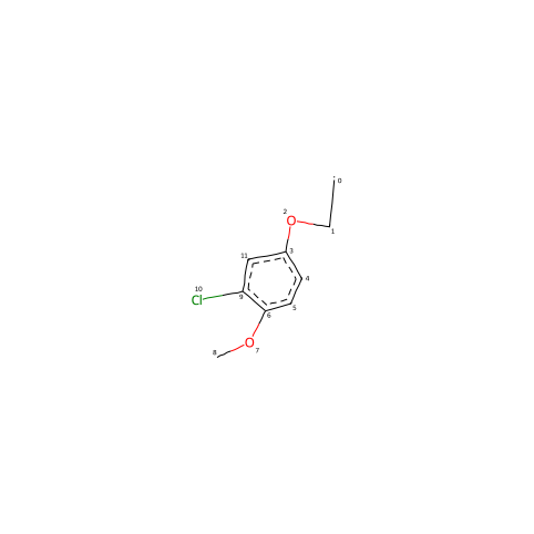 [CH2]COc1ccc(OC)c(Cl)c1